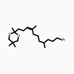 CC(=CCCC1(C)OCC(C)(C)CO1)CCCC(C)CCCC(C)C